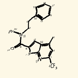 Cc1cc(C(F)(F)F)nc2sc(C(=O)N(CCc3ccccc3)C(C)C)cc12